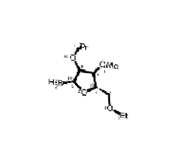 B[C@@H]1O[C@H](COCC)C(OC)C1OC(C)C